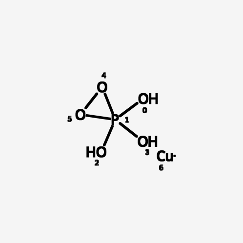 OP1(O)(O)OO1.[Cu]